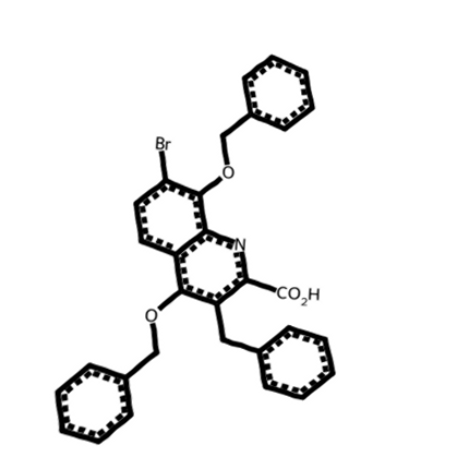 O=C(O)c1nc2c(OCc3ccccc3)c(Br)ccc2c(OCc2ccccc2)c1Cc1ccccc1